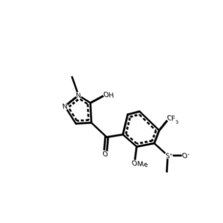 COc1c(C(=O)c2cnn(C)c2O)ccc(C(F)(F)F)c1[S+](C)[O-]